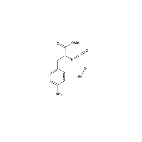 CCCC[O].COC(=O)C(Cc1ccc(N)cc1)N=C=O